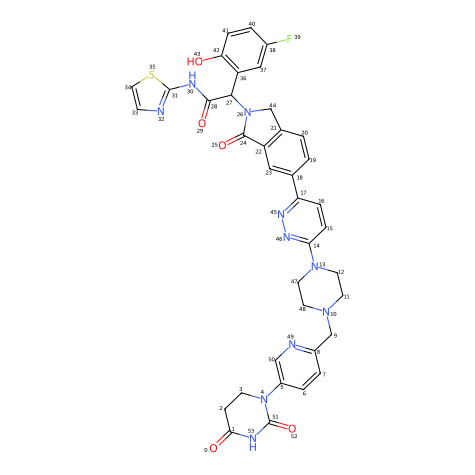 O=C1CCN(c2ccc(CN3CCN(c4ccc(-c5ccc6c(c5)C(=O)N(C(C(=O)Nc5nccs5)c5cc(F)ccc5O)C6)nn4)CC3)nc2)C(=O)N1